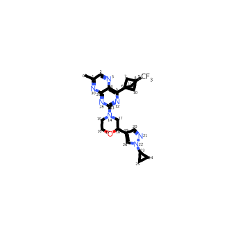 Cc1cnc2c(C34CC(C(F)(F)F)(C3)C4)nc(N3CCOC(c4cnn(C5CC5)c4)C3)nc2n1